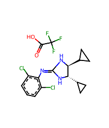 Clc1cccc(Cl)c1N=C1N[C@@H](C2CC2)[C@H](C2CC2)N1.O=C(O)C(F)(F)F